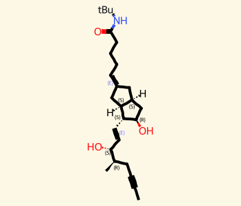 CC#CC[C@@H](C)[C@H](O)/C=C/[C@@H]1[C@H]2C/C(=C/CCCC(=O)NC(C)(C)C)C[C@H]2C[C@H]1O